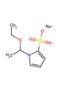 CCOC(C)n1cccc1S(=O)(=O)[O-].[Na+]